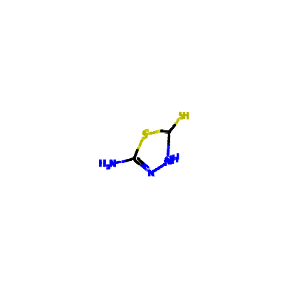 NC1=NNC(S)S1